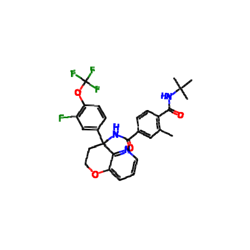 Cc1cc(C(=O)NC2(c3ccc(OC(F)(F)F)c(F)c3)CCOc3cccnc32)ccc1C(=O)NC(C)(C)C